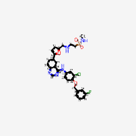 CCNS(=O)(=O)CCNCc1ccc(-c2ccc3ncnc(Nc4ccc(OCc5cccc(F)c5)c(Cl)c4)c3c2)o1